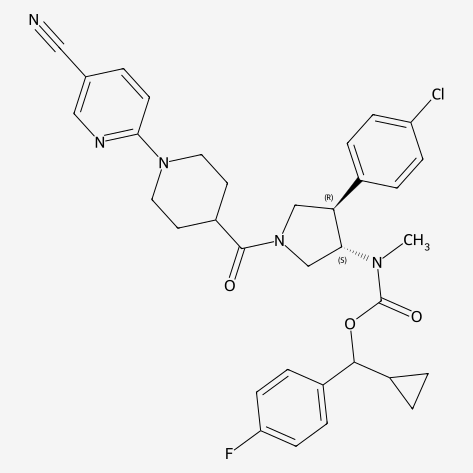 CN(C(=O)OC(c1ccc(F)cc1)C1CC1)[C@@H]1CN(C(=O)C2CCN(c3ccc(C#N)cn3)CC2)C[C@H]1c1ccc(Cl)cc1